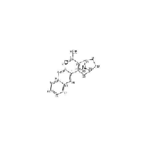 CCC(=O)C1=C(c2ccc3ccccc3c2)CC2CCC1N2C